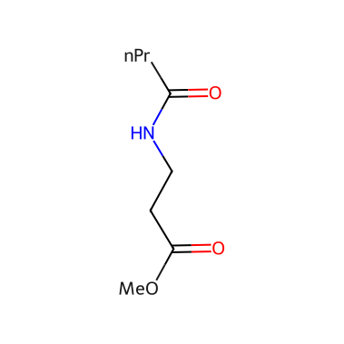 CCCC(=O)NCCC(=O)OC